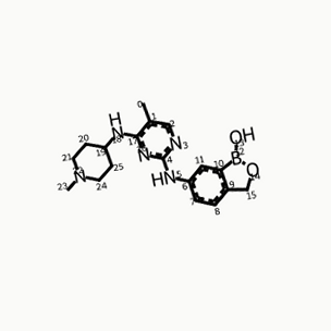 Cc1cnc(Nc2ccc3c(c2)B(O)OC3)nc1NC1CCN(C)CC1